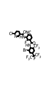 N#Cc1ccc(C(=O)Nc2c(Br)cc(C(F)(C(F)(F)F)C(F)(F)F)cc2C(F)(F)F)c(F)c1NC(=O)c1ccc(Cl)nc1